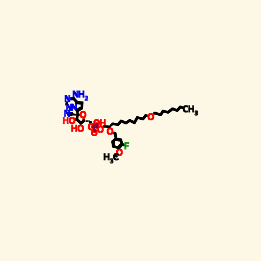 CCCCCCCCOCCCCCCCCC[C@H](COP(=O)(O)OC[C@H]1O[C@@](C#N)(c2ccc3c(N)ncnn23)C(O)[C@H]1O)OCc1ccc(OC)c(F)c1